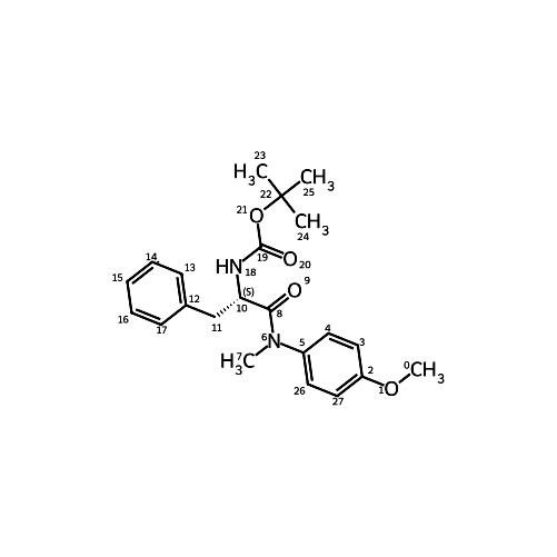 COc1ccc(N(C)C(=O)[C@H](Cc2c[c]ccc2)NC(=O)OC(C)(C)C)cc1